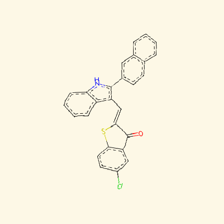 O=C1/C(=C/c2c(-c3ccc4ccccc4c3)[nH]c3ccccc23)Sc2ccc(Cl)cc21